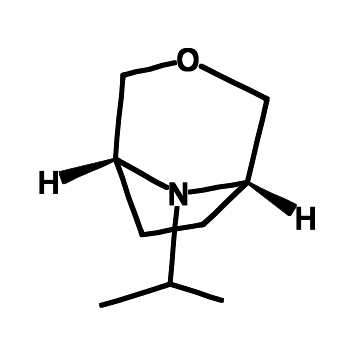 CC(C)N1[C@@H]2CC[C@H]1COC2